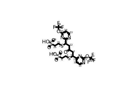 O=C(CC(SCCS(=O)(=O)O)c1ccnc(OC(F)(F)F)n1)CC(SCCS(=O)(=O)O)c1nccc(OC(F)(F)F)n1